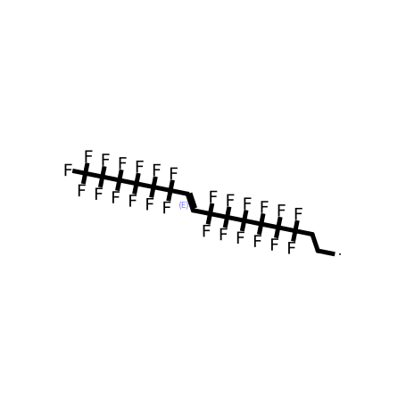 [CH2]CCC(F)(F)C(F)(F)C(F)(F)C(F)(F)C(F)(F)C(F)(F)/C=C/C(F)(F)C(F)(F)C(F)(F)C(F)(F)C(F)(F)C(F)(F)F